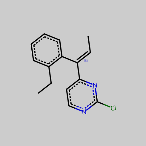 C/C=C(/c1ccnc(Cl)n1)c1ccccc1CC